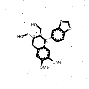 COc1cc2c(cc1OC)[C@@H](c1ccc3c(c1)OCO3)[C@H](CO)[C@@H](CO)C2